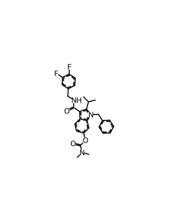 CC(C)c1c(C(=O)NCc2ccc(F)c(F)c2)c2ccc(OC(=O)N(C)C)cc2n1Cc1ccccc1